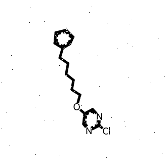 Clc1ncc(OCCCCCCc2ccccc2)cn1